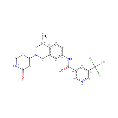 C[C@H]1CN(C2CCNC(=O)C2)Cc2cc(NC(=O)c3cncc(C(F)(F)F)c3)ccc21